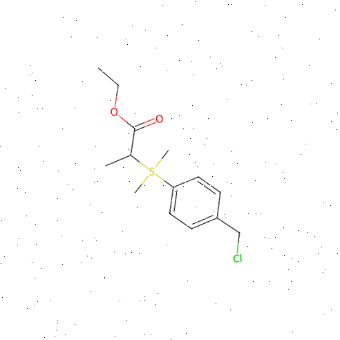 CCOC(=O)C(C)S(C)(C)c1ccc(CCl)cc1